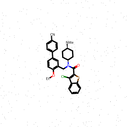 CCOc1ccc(-c2ccc(C#N)cc2)cc1CN(C(=O)c1sc2ccccc2c1Cl)[C@H]1CC[C@@H](NC)CC1